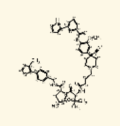 COc1cc(C2(C#N)CCN(CCCC(=O)N[C@H](C(=O)N3C[C@H](O)C[C@H]3C(=O)NCc3ccc(-c4scnc4C)cc3)C(C)(C)C)CC2)ccc1NC(=O)c1cccc(-c2ccn[nH]2)n1